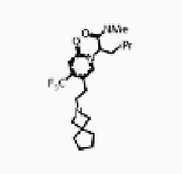 CNC(=O)C(CC(C)C)n1cc(CCN2CC3(CCCC3)C2)c(C(F)(F)F)cc1=O